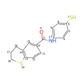 O=C(Nc1ccc(S)cc1)c1ccc2c(c1)CCCS2